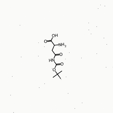 CC(C)(C)OC(=O)NC(=O)CC(N)C(=O)O